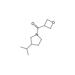 CC(C)C1CCN(C(=O)C2COC2)C1